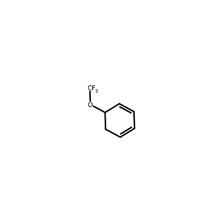 FC(F)(F)OC1C=CC=CC1